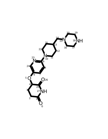 O=C1CCC(Oc2ccc(N3CCC(CN4CCNCC4)CC3)nc2)C(=O)N1